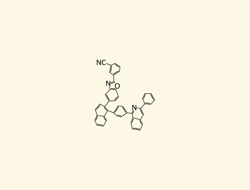 N#Cc1cccc(-c2nc3cc(-c4ccc5ccccc5c4-c4ccc(-c5nc(-c6ccccc6)cc6ccccc56)cc4)ccc3o2)c1